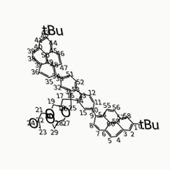 CC(C)(C)c1cc2ccc3ccc(-c4ccc5c(c4)C(CCCOCC4CO4)(COCC4CO4)c4cc(-c6ccc7ccc8cc(C(C)(C)C)cc9ccc6c7c89)ccc4-5)c4ccc(c1)c2c34